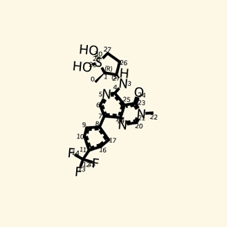 C[C@@H]1[C@@H](Nc2ncc(-c3ccc(C(F)(F)F)cc3)c3ncn(C)c(=O)c23)CCS1(O)O